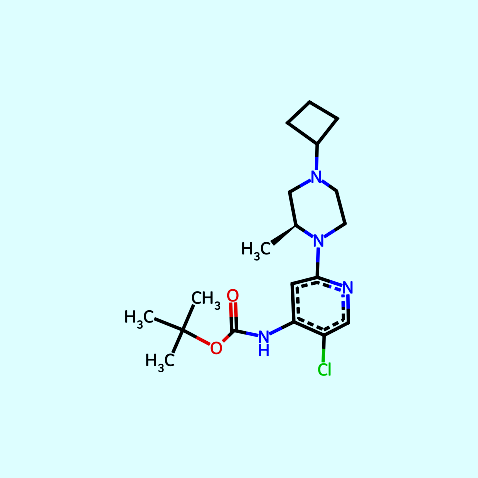 C[C@H]1CN(C2CCC2)CCN1c1cc(NC(=O)OC(C)(C)C)c(Cl)cn1